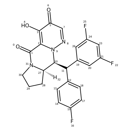 O=C1c2c(O)c(=O)cnn2[C@@H](C(c2ccc(F)cc2)c2cc(F)cc(F)c2)[C@H]2CCCN12